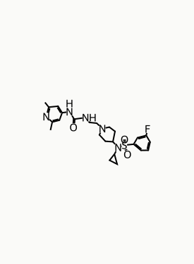 Cc1cc(NC(=O)NCCN2CCC(N(C3CC3)S(=O)(=O)c3cccc(F)c3)CC2)cc(C)n1